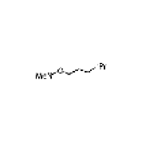 CCCCCCONC